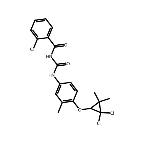 Cc1cc(NC(=O)NC(=O)c2ccccc2Cl)ccc1OC1C(C)(C)C1(Cl)Cl